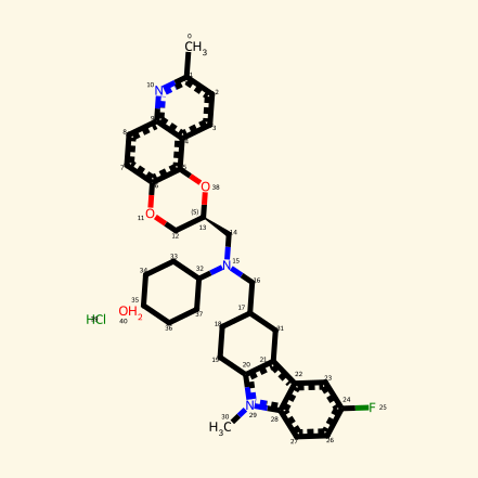 Cc1ccc2c3c(ccc2n1)OC[C@H](CN(CC1CCc2c(c4cc(F)ccc4n2C)C1)C1CCCCC1)O3.Cl.O